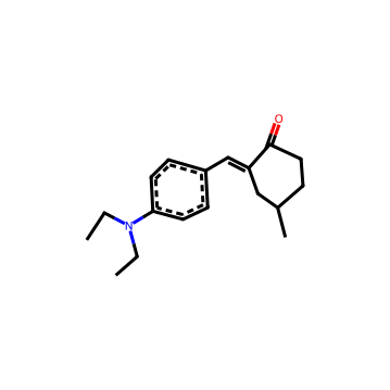 CCN(CC)c1ccc(C=C2CC(C)CCC2=O)cc1